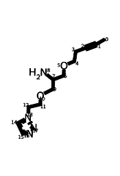 CC#CCCOCC(N)COCCn1ccnn1